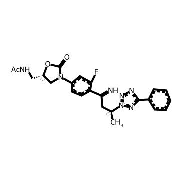 CC(=O)NC[C@H]1CN(c2ccc(C(=N)C[C@H](C)n3nnc(-c4ccccc4)n3)c(F)c2)C(=O)O1